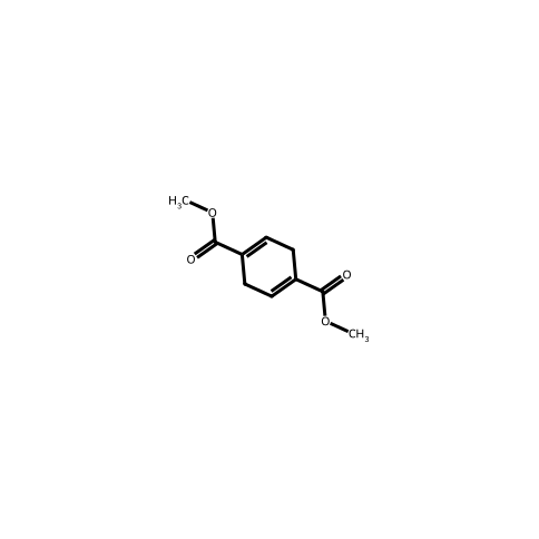 COC(=O)C1=CCC(C(=O)OC)=CC1